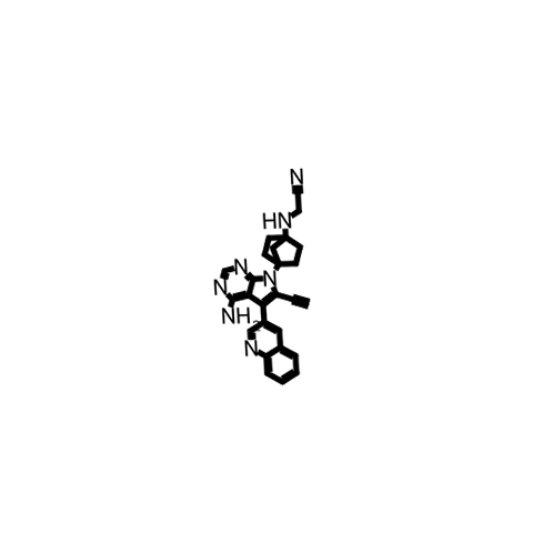 C#Cc1c(-c2cnc3ccccc3c2)c2c(N)ncnc2n1C12CCC(NCC#N)(CC1)C2